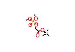 COP(=O)(OC)OCC(=O)O[Si](C)(C)C